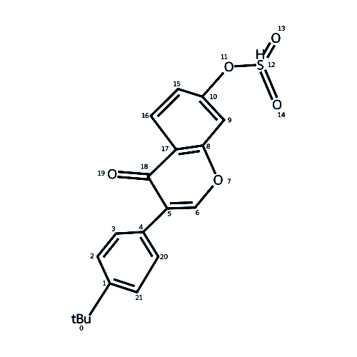 CC(C)(C)c1ccc(-c2coc3cc(O[SH](=O)=O)ccc3c2=O)cc1